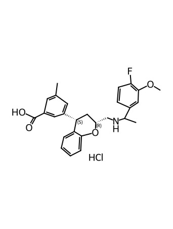 COc1cc(C(C)NC[C@H]2C[C@@H](c3cc(C)cc(C(=O)O)c3)c3ccccc3O2)ccc1F.Cl